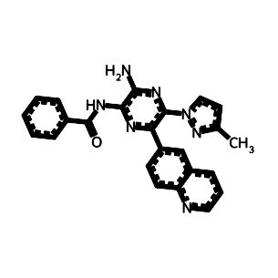 Cc1ccn(-c2nc(N)c(NC(=O)c3ccccc3)nc2-c2ccc3ncccc3c2)n1